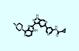 CN1CCN(c2nccc3[nH]c(-c4n[nH]c5cnc(-c6cncc(NC(=O)C7CC7)c6)cc45)nc23)CC1